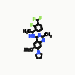 COc1cc2c(NC(C)c3cccc(C(F)F)c3F)nc(C)nc2cc1N1CCCC1